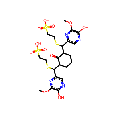 COc1nc(C(SCCS(=O)(=O)O)C2CCCC(C(SCCS(=O)(=O)O)c3cnc(O)c(OC)n3)C2=O)cnc1O